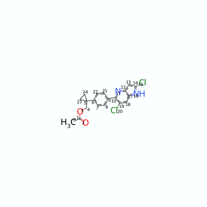 CC(=O)OCC1(c2ccc(-c3nc4cc(Cl)[nH]c4cc3Cl)cc2)CC1